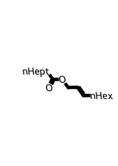 CCCCCCC=CCOC(=O)CCCCCCC